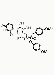 COc1ccc(OP(=O)(OC[C@]2(C(F)F)O[C@H](n3ccc(=O)[nH]c3=O)C(O)C2O)Oc2ccc(OC)cc2)cc1